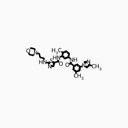 Cc1cc(C(=O)Nc2ccc(C)c(NC(=O)c3cnc(NCCCN4CCOCC4)s3)c2)cc(-n2cnc(C)c2)c1